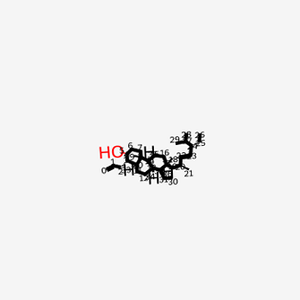 C=CC[C@@H]1[C@H](O)CC[C@@]2(C)[C@H]1CC[C@@H]1[C@@H]2CC[C@]2(C)[C@@H]([C@H](C)/C=C/[C@@H](CC)C(C)C)CC[C@@H]12